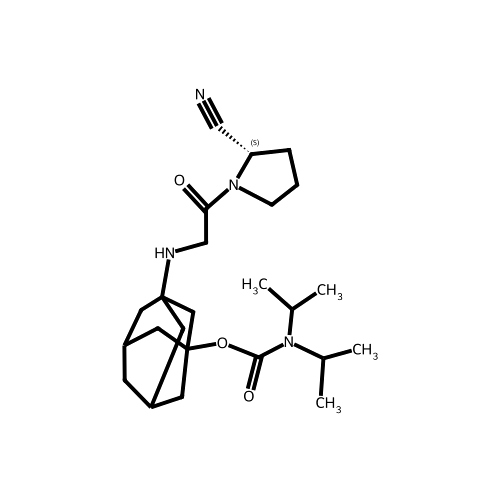 CC(C)N(C(=O)OC12CC3CC(CC(NCC(=O)N4CCC[C@H]4C#N)(C3)C1)C2)C(C)C